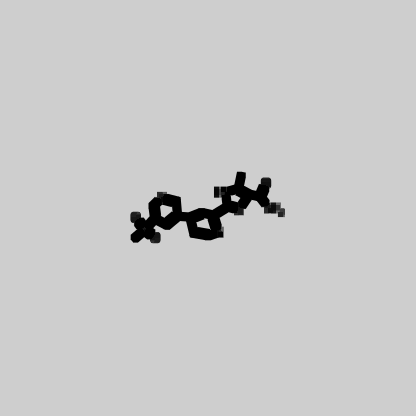 Cc1[nH]c(-c2cc(-c3cncc(S(C)(=O)=O)c3)ccn2)nc1C(N)=O